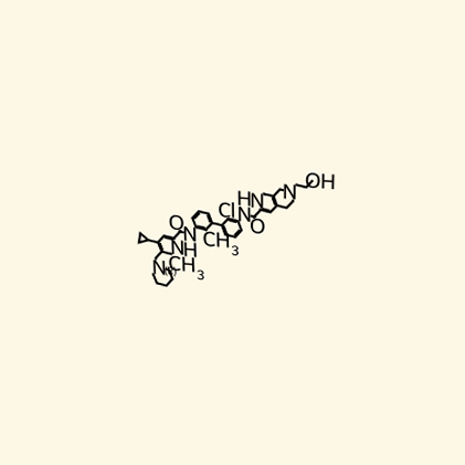 Cc1c(NC(=O)c2cc(C3CC3)c(CN3CCCC[C@H]3C)cn2)cccc1-c1cccc(NC(=O)c2cc3c(cn2)CN(CCO)CC3)c1Cl